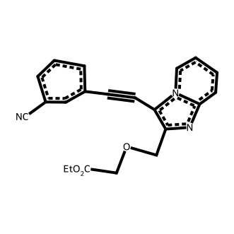 CCOC(=O)COCc1nc2ccccn2c1C#Cc1cccc(C#N)c1